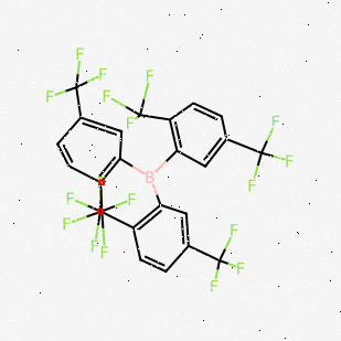 FC(F)(F)c1ccc(C(F)(F)F)c(B(c2cc(C(F)(F)F)ccc2C(F)(F)F)c2cc(C(F)(F)F)ccc2C(F)(F)F)c1